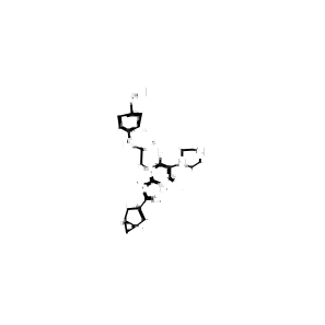 CCc1c(N2CCNCC2)c(=O)n2nc(C3=CC4CC4C3)nc2n1CC(=O)Nc1ccc(SC(F)(F)F)cc1